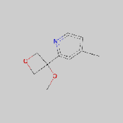 COC1(c2cc(C)ccn2)COC1